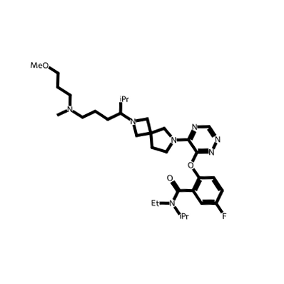 CCN(C(=O)c1cc(F)ccc1Oc1nncnc1N1CCC2(C1)CN(C(CCCN(C)CCCOC)C(C)C)C2)C(C)C